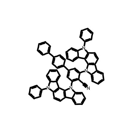 N#Cc1c(-n2c3ccccc3c3ccc4c(c5ccccc5n4-c4ccccc4)c32)cc(-c2ccc(-c3ccccc3)cc2)cc1-n1c2ccccc2c2ccc3c(c4ccccc4n3-c3ccccc3)c21